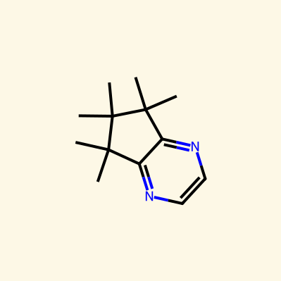 CC1(C)c2nccnc2C(C)(C)C1(C)C